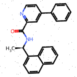 C[C@@H](NC(=O)c1cc(-c2ccccc2)ccn1)c1cccc2ccccc12